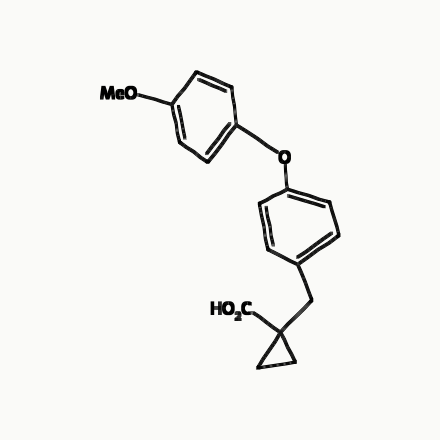 COc1ccc(Oc2ccc(CC3(C(=O)O)CC3)cc2)cc1